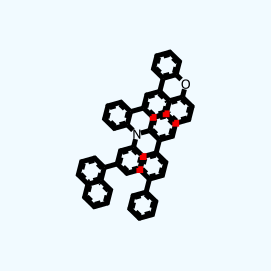 c1ccc(-c2ccc(-c3ccccc3N(c3cccc(-c4cccc5ccccc45)c3)c3ccccc3-c3cc4c5c(cccc5c3)Oc3ccccc3-4)cc2)cc1